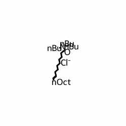 CCCCCCCCC=CCCCCCCCC(=O)[N+](CCCC)(CCCC)CCCC.[Cl-]